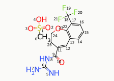 CS(=O)(=O)O.N=C(N)NC(=O)C1=Cc2cccc(C(F)(F)F)c2OCC1